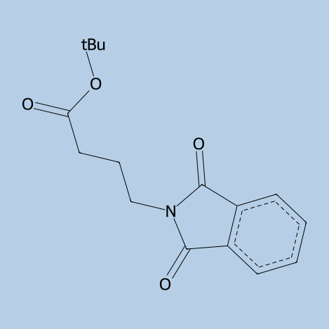 CC(C)(C)OC(=O)CCCN1C(=O)c2ccccc2C1=O